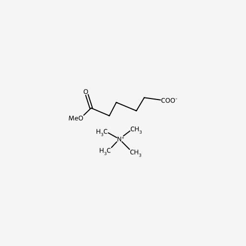 COC(=O)CCCCC(=O)[O-].C[N+](C)(C)C